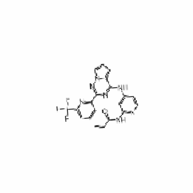 C=CC(=O)Nc1cc(Nc2nc(-c3cccc(C(F)(F)F)n3)nn3cccc23)ccn1